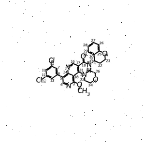 COc1ncc(-c2cc(Cl)cc(Cl)c2)c2ncc(C(=O)N[C@H]3CCOc4ccccc43)c(N3CCOCC3)c12